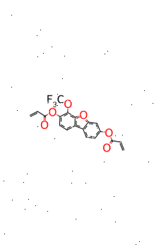 C=CC(=O)Oc1ccc2c(c1)oc1c(OC(F)(F)F)c(OC(=O)C=C)ccc12